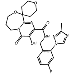 Cc1ncn(-c2cc(F)ccc2CNC(=O)c2nc3n(c(=O)c2O)CCCOC32CCOCC2)n1